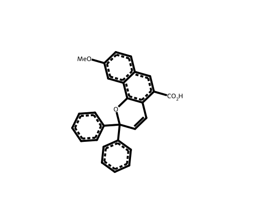 COc1ccc2cc(C(=O)O)c3c(c2c1)OC(c1ccccc1)(c1ccccc1)C=C3